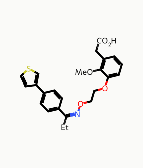 CCC(=NOCCOc1cccc(CC(=O)O)c1OC)c1ccc(-c2ccsc2)cc1